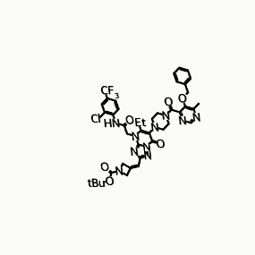 CCc1c(N2CCN(C(=O)c3ncnc(C)c3OCc3ccccc3)CC2)c(=O)n2nc(C=C3CN(C(=O)OC(C)(C)C)C3)nc2n1CC(=O)Nc1ccc(C(F)(F)F)cc1Cl